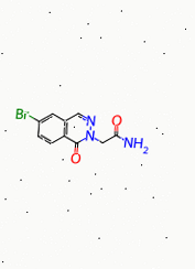 NC(=O)Cn1ncc2cc(Br)ccc2c1=O